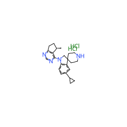 C[C@@H]1CCc2ncnc(N3CC4(CCNCC4)c4cc(C5CC5)ccc43)c21.Cl.Cl